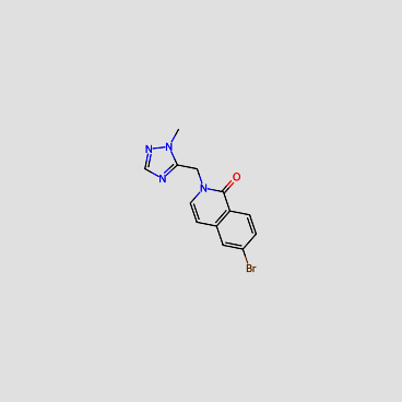 Cn1ncnc1Cn1ccc2cc(Br)ccc2c1=O